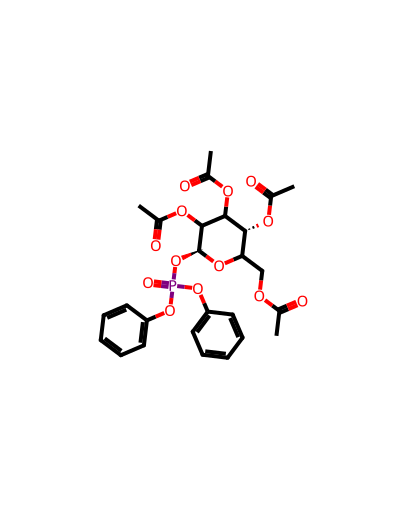 CC(=O)OCC1O[C@@H](OP(=O)(Oc2ccccc2)Oc2ccccc2)C(OC(C)=O)C(OC(C)=O)[C@@H]1OC(C)=O